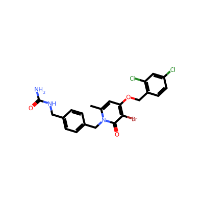 Cc1cc(OCc2ccc(Cl)cc2Cl)c(Br)c(=O)n1Cc1ccc(CNC(N)=O)cc1